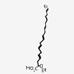 CCC=CCC=CCC=CCC=CCC=CCC=CCC(OCC)C(=O)O